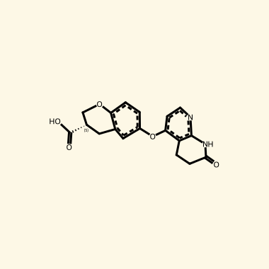 O=C1CCc2c(Oc3ccc4c(c3)C[C@H](C(=O)O)CO4)ccnc2N1